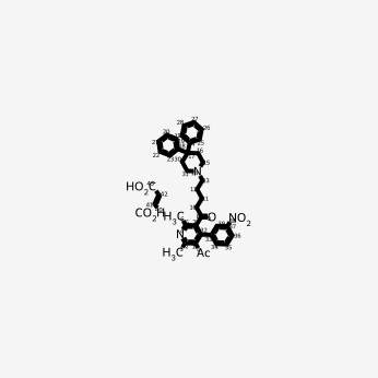 CC(=O)c1c(C)nc(C)c(C(=O)CCCCN2CCC(c3ccccc3)(c3ccccc3)CC2)c1-c1cccc([N+](=O)[O-])c1.O=C(O)/C=C/C(=O)O